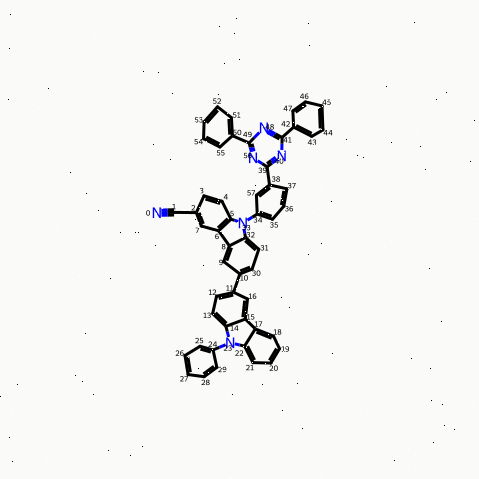 N#Cc1ccc2c(c1)c1cc(-c3ccc4c(c3)c3ccccc3n4-c3ccccc3)ccc1n2-c1cccc(-c2nc(-c3ccccc3)nc(-c3ccccc3)n2)c1